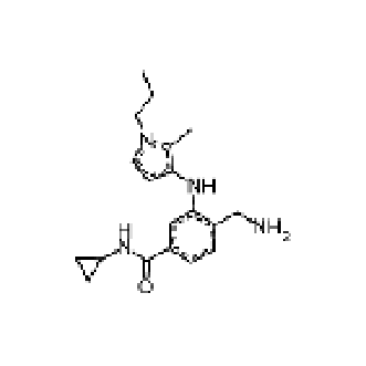 CCCn1ccc(Nc2cc(C(=O)NC3CC3)ccc2CN)c1C